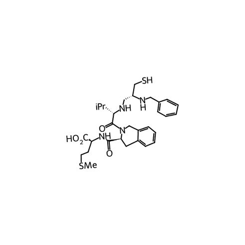 CSCC[C@H](NC(=O)[C@@H]1Cc2ccccc2CN1C(=O)[C@@H](NC[C@H](CS)NCc1ccccc1)C(C)C)C(=O)O